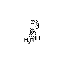 COc1cccc(CN2CCC(CN3CC(C)CN(c4cccc(C(=N)N)c4)C3=O)CC2)c1